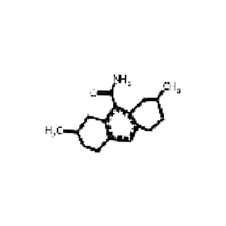 CC1CCc2cc3c(c(C(N)=O)c2C1)CC(C)CC3